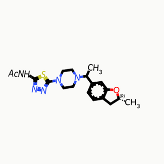 CC(=O)Nc1nnc(N2CCN(C(C)c3ccc4c(c3)O[C@H](C)C4)CC2)s1